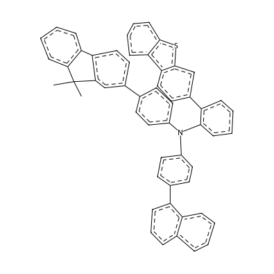 CC1(C)c2ccccc2-c2ccc(-c3ccc(N(c4ccc(-c5cccc6ccccc56)cc4)c4ccccc4-c4ccc5c(c4)sc4ccccc45)cc3)cc21